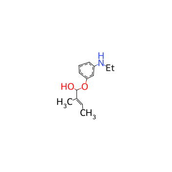 CC=C(C)C(O)Oc1cccc(NCC)c1